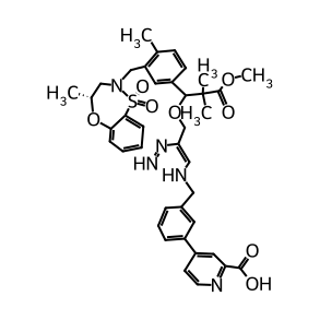 COC(=O)C(C)(C)C(OC/C(=C/NCc1cccc(-c2ccnc(C(=O)O)c2)c1)N=N)c1ccc(C)c(CN2C[C@@H](C)Oc3ccccc3S2(=O)=O)c1